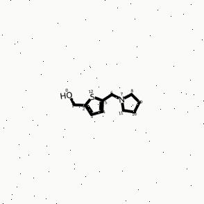 OCc1ccc(CN2CCCC2)s1